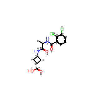 CC(NC(=O)c1cccc(Cl)c1Cl)C(=O)N[C@H]1C[C@@H](C(=O)O)C1